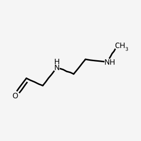 CNCCNCC=O